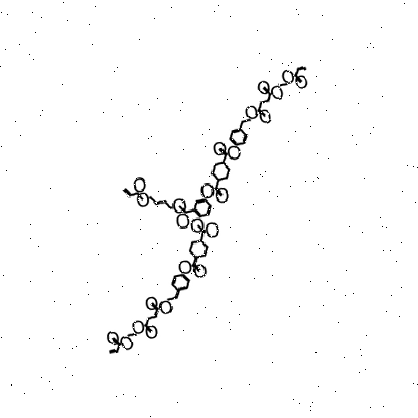 C=CC(=O)OCCCCOC(=O)c1cc(OC(=O)C2CCC(C(=O)Oc3ccc(CCOC(=O)CCC(=O)OCCOC(=O)C=C)cc3)CC2)ccc1OC(=O)C1CCC(C(=O)Oc2ccc(CCOC(=O)CCC(=O)OCCOC(=O)C=C)cc2)CC1